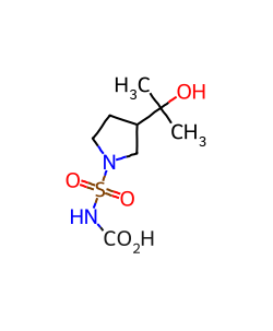 CC(C)(O)C1CCN(S(=O)(=O)NC(=O)O)C1